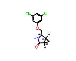 O=C1N[C@@H](COc2cc(Cl)cc(Cl)c2)[C@@H]2C[C@H]12